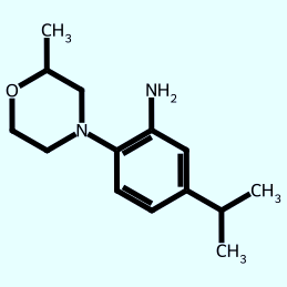 CC1CN(c2ccc(C(C)C)cc2N)CCO1